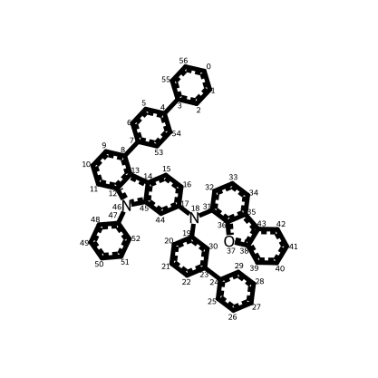 c1ccc(-c2ccc(-c3cccc4c3c3ccc(N(c5cccc(-c6ccccc6)c5)c5cccc6c5oc5ccccc56)cc3n4-c3ccccc3)cc2)cc1